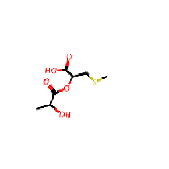 CSCC(OC(=O)C(C)O)C(=O)O